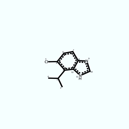 CC(C)c1c(Cl)ccc2nc[nH]c12